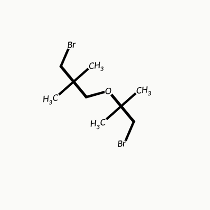 CC(C)(CBr)COC(C)(C)CBr